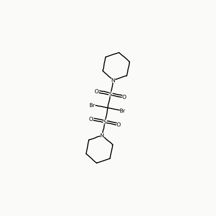 O=S(=O)(N1CCCCC1)C(Br)(Br)S(=O)(=O)N1CCCCC1